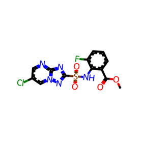 COC(=O)c1cccc(F)c1NS(=O)(=O)c1nc2ncc(Cl)cn2n1